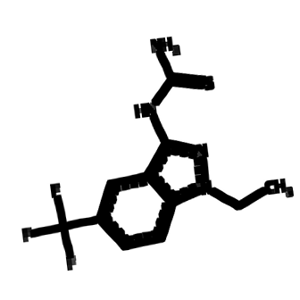 CCn1nc(NC(N)=S)c2cc(C(F)(F)F)ccc21